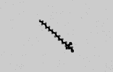 CCCCCCCCCCCCCCCCCC(=O)NC=O